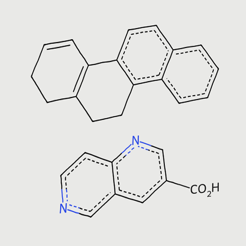 C1=CC2=C(CC1)CCc1c2ccc2ccccc12.O=C(O)c1cnc2ccncc2c1